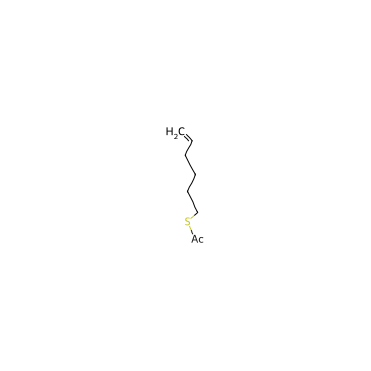 C=CCCCCSC(C)=O